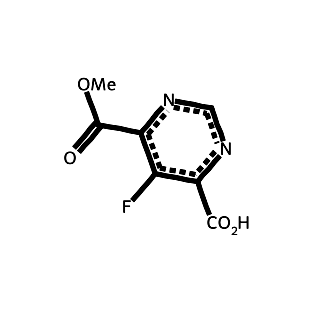 COC(=O)c1ncnc(C(=O)O)c1F